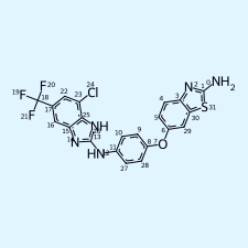 Nc1nc2ccc(Oc3ccc(Nc4nc5cc(C(F)(F)F)cc(Cl)c5[nH]4)cc3)cc2s1